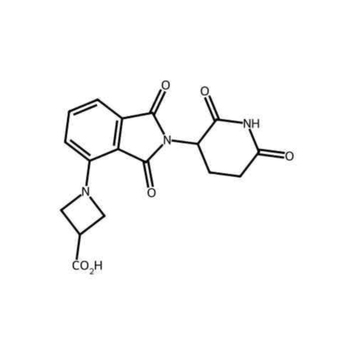 O=C1CCC(N2C(=O)c3cccc(N4CC(C(=O)O)C4)c3C2=O)C(=O)N1